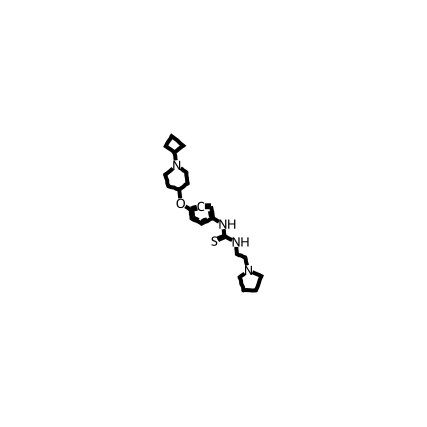 S=C(NCCN1CCCC1)Nc1ccc(OC2CCN(C3CCC3)CC2)cc1